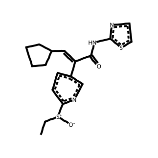 CC[S+]([O-])c1ccc(/C(=C\C2CCCC2)C(=O)Nc2nccs2)cn1